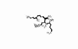 C=CCC[C@H](CCC)N(C)C(CCSC)C(=C)CC/C=C\C(=C/CCC(C)C)CC